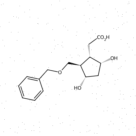 O=C(O)C[C@H]1[C@H](COCc2ccccc2)[C@@H](O)C[C@H]1O